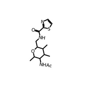 CC(=O)NC1C(C)OC(CNC(=O)c2nccs2)C(C)C1C